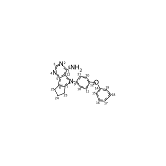 Nc1ncnc2c3c(n(-c4ccc(Oc5ccccc5)cc4)c12)CCC3